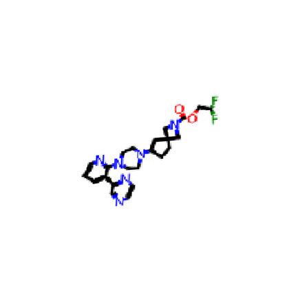 O=C(OCC(F)F)N1CC2(CCC(N3CCN(c4ncccc4-c4cnccn4)CC3)C2)C1